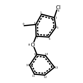 Cc1cc(Cl)ccc1Oc1ccccc1